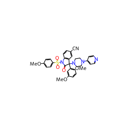 COc1ccc(S(=O)(=O)N2C(=O)C(c3cc(OC)ccc3OC)(N3CCN(c4ccncc4)CC3)c3cc(C#N)ccc32)cc1